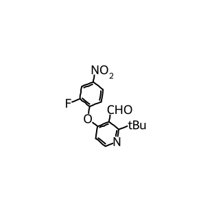 CC(C)(C)c1nccc(Oc2ccc([N+](=O)[O-])cc2F)c1C=O